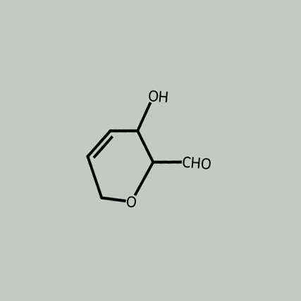 O=CC1OCC=CC1O